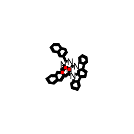 C1=CC2=CC(c3nc(-c4ccc5ccccc5c4)nc(-n4c5ccccc5c5ccc6c7ccccc7n(-c7ccccc7)c6c54)n3)=CCC2C=C1